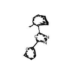 Cc1ccccc1-c1nnc(-c2ccco2)o1